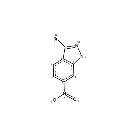 O=[N+]([O-])c1ccc2c(c1)[N]N=C2Br